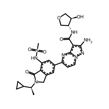 C[C@@H](C1CC1)N1Cc2cc(-c3ccn4nc(N)c(C(=O)N[C@@H]5COC[C@H]5O)c4n3)cc(NS(C)(=O)=O)c2C1=O